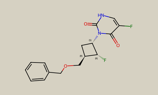 O=c1[nH]cc(F)c(=O)n1[C@H]1C[C@H](COCc2ccccc2)[C@H]1F